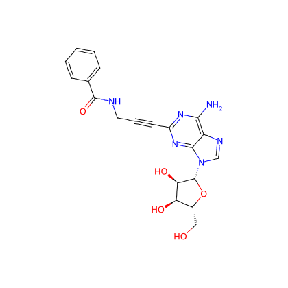 Nc1nc(C#CCNC(=O)c2ccccc2)nc2c1ncn2[C@@H]1O[C@H](CO)[C@@H](O)[C@H]1O